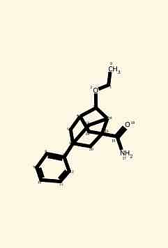 CCOC1C2CC3(c4ccccc4)CC1C(C(N)=O)(C2)C3